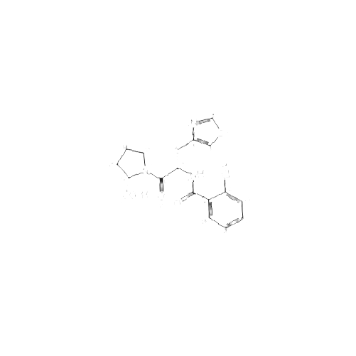 O=C(N[C@@H](Cc1cscn1)C(=O)N1CCC[C@H]1C(=O)O)c1ccccc1Cl